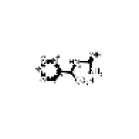 N=C(N)NC(C(=O)O)c1cnnnn1